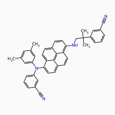 Cc1cc(C)cc(N(c2cccc(C#N)c2)c2ccc3ccc4c(NCC(C)(C)c5cccc(C#N)c5)ccc5ccc2c3c54)c1